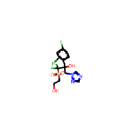 O=S(=O)(CCO)C(F)(F)C(O)(Cn1cncn1)c1ccc(F)cc1F